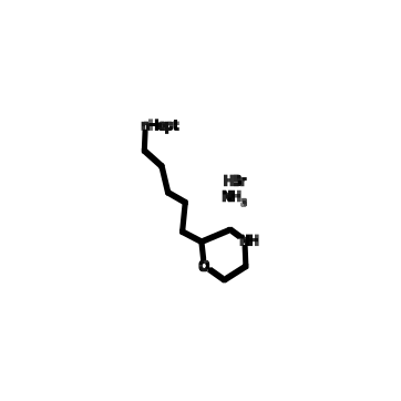 Br.CCCCCCCCCCCCC1CNCCO1.N